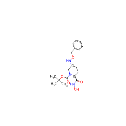 CC(C)(C)OC(=O)N1C[C@H](NOCc2ccccc2)CC[C@H]1C(=O)NO